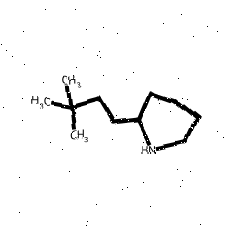 CC(C)(C)CCC1[CH]CCCN1